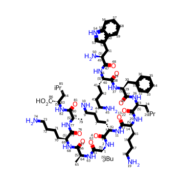 CC[C@H](C)[C@H](NC(=O)[C@H](CCCCN)NC(=O)[C@H](CCCCN)NC(=O)[C@H](CC(C)C)NC(=O)[C@H](Cc1ccccc1)NC(=O)[C@H](CCCCN)NC(=O)[C@@H](N)Cc1c[nH]c2ccccc12)C(=O)N[C@@H](C)C(=O)N[C@@H](CCCCN)C(=O)N[C@@H](C)C(=O)N[C@@H](CC(C)C)C(=O)O